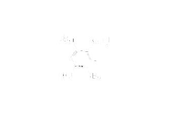 Cc1c(C(C)(C)C)c(O)cc(C(C)(C)C)c1S(=O)(=O)O